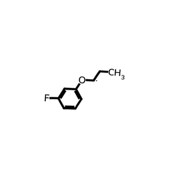 CC[CH]Oc1cccc(F)c1